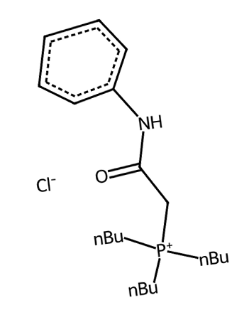 CCCC[P+](CCCC)(CCCC)CC(=O)Nc1ccccc1.[Cl-]